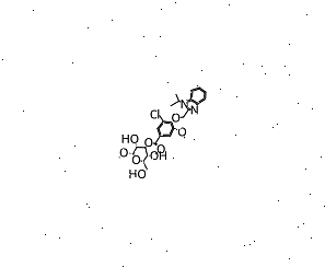 COc1cc(C(=O)O[C@@H]2[C@@H](O)[C@@H](OC)O[C@H](CO)[C@H]2O)cc(Cl)c1OCc1nc2ccccc2n1C(C)C